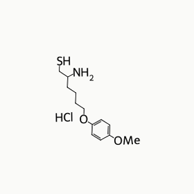 COc1ccc(OCCCCC(N)CS)cc1.Cl